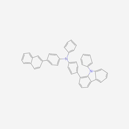 c1ccc(N(c2ccc(-c3ccc4ccccc4c3)cc2)c2ccc(-c3cccc4c5ccccc5n(-c5ccccc5)c34)cc2)cc1